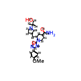 COc1ccc(-c2noc(N3CCC(C(N)=O)CC3CC3CCN(C(C)(C)CO)C3)n2)cc1